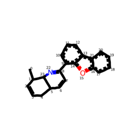 CC1C=CCC2C=CC(c3cccc4c3oc3ccccc34)=NC12